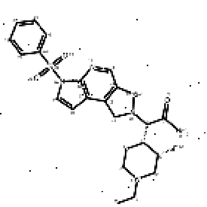 CCN1CC[C@H]([C](C(N)=O)N2Cc3c(cnc4c3ccn4S(=O)(=O)c3ccccc3)N2)[C@H](F)C1